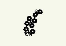 c1ccc([Si](c2ccccc2)(c2cccc(-c3ccc4c(c3)-n3c(nc5ccccc53)OC4)c2)c2cccc(-c3ccc4oc5ccccc5c4c3)c2)cc1